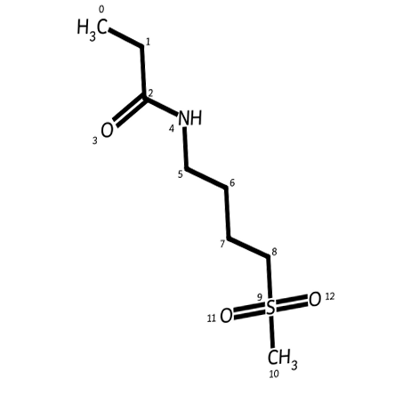 CCC(=O)NCCCCS(C)(=O)=O